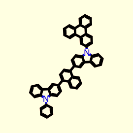 c1ccc(-n2c3ccccc3c3cc(-c4ccc(-c5ccc6c(c5)c5ccccc5n6-c5ccc6c7ccccc7c7ccccc7c6c5)c5ccccc45)ccc32)cc1